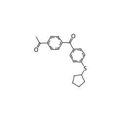 CC(=O)c1ccc(C(=O)c2ccc(SC3CCCC3)cc2)cc1